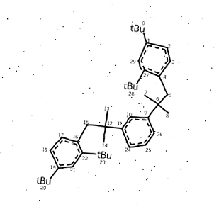 CC(C)(C)c1ccc(CC(C)(C)c2[c]c(C(C)(C)Cc3ccc(C(C)(C)C)cc3C(C)(C)C)ccc2)c(C(C)(C)C)c1